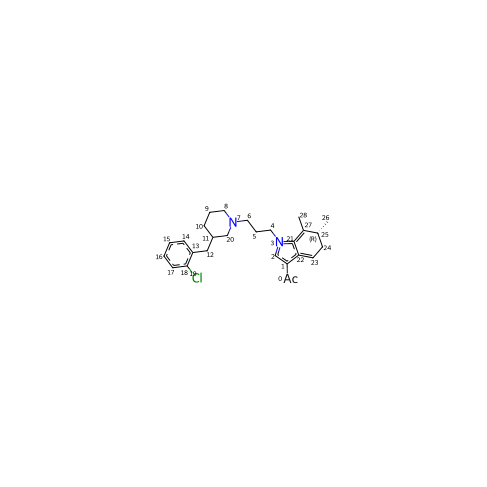 CC(=O)c1cn(CCCN2CCCC(Cc3ccccc3Cl)C2)c2c1=CC[C@@H](C)C=2C